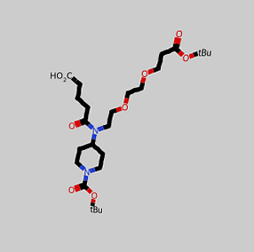 CC(C)(C)OC(=O)CCOCCOCCN(C(=O)CCCC(=O)O)C1CCN(C(=O)OC(C)(C)C)CC1